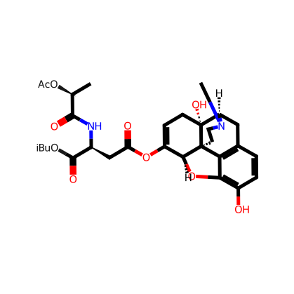 CC(=O)O[C@@H](C)C(=O)N[C@@H](CC(=O)OC1=CC[C@@]2(O)[C@H]3Cc4ccc(O)c5c4[C@@]2(CCN3C)[C@H]1O5)C(=O)OCC(C)C